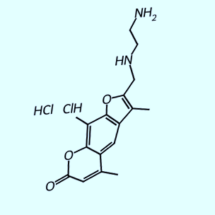 Cc1cc(=O)oc2c(C)c3oc(CNCCN)c(C)c3cc12.Cl.Cl